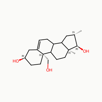 C[C@H]1CC2C3CC=C4C[C@H](O)CC[C@]4(CO)C3CC[C@]2(C)[C@@H]1O